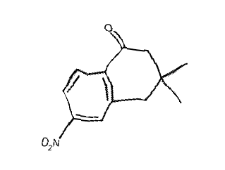 CC1(C)CC(=O)c2ccc([N+](=O)[O-])cc2C1